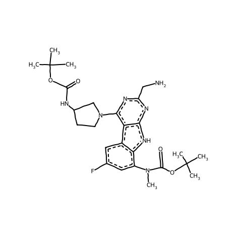 CN(C(=O)OC(C)(C)C)c1cc(F)cc2c1[nH]c1nc(CN)nc(N3CCC(NC(=O)OC(C)(C)C)C3)c12